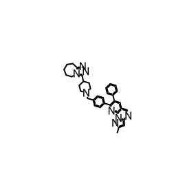 Cc1cc2ncc3cc(-c4ccccc4)c(-c4ccc(CN5CCC(c6nnc7n6CCCCC7)CC5)cc4)nc3n2n1